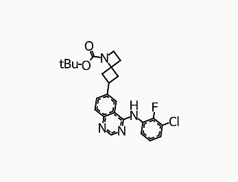 CC(C)(C)OC(=O)N1CCC12CC(c1ccc3ncnc(Nc4cccc(Cl)c4F)c3c1)C2